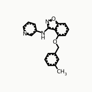 Cc1cccc(COc2cccc3onc(Nc4cccnc4)c23)c1